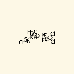 Cc1cc(C2=NOC(c3cc(Cl)cc(Cl)c3)(C(F)(F)F)C2)ccc1C(=O)NCc1ncc(Cl)s1